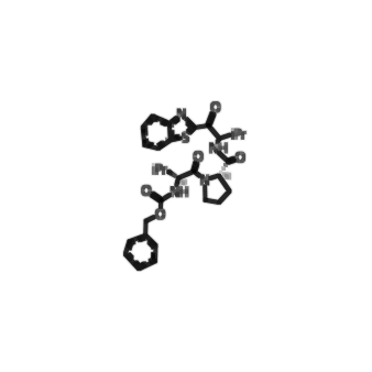 CC(C)C(NC(=O)[C@@H]1CCCN1C(=O)[C@@H](NC(=O)OCc1ccccc1)C(C)C)C(=O)c1nc2ccccc2s1